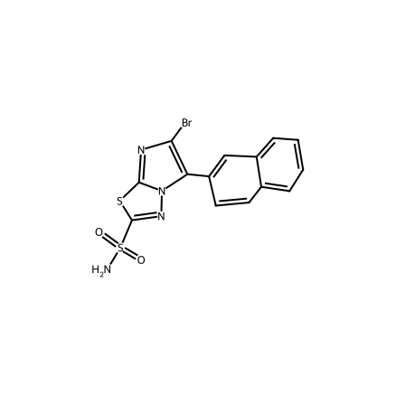 NS(=O)(=O)c1nn2c(-c3ccc4ccccc4c3)c(Br)nc2s1